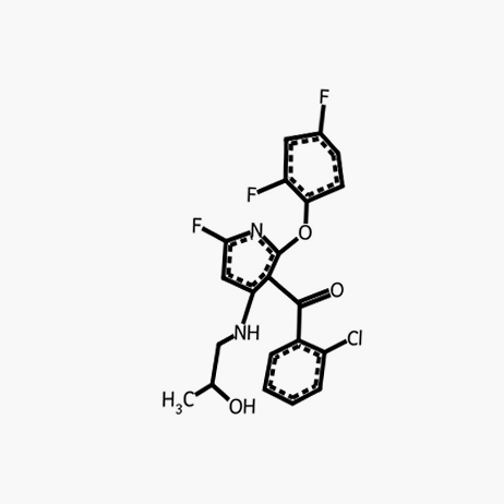 CC(O)CNc1cc(F)nc(Oc2ccc(F)cc2F)c1C(=O)c1ccccc1Cl